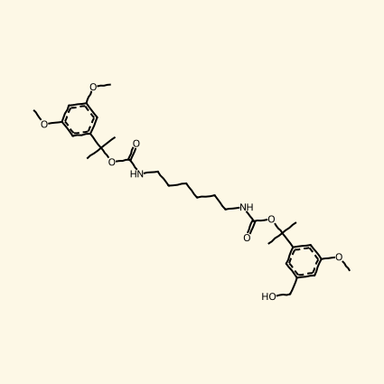 COc1cc(CO)cc(C(C)(C)OC(=O)NCCCCCCNC(=O)OC(C)(C)c2cc(OC)cc(OC)c2)c1